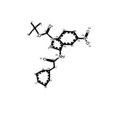 CC(C)(C)OC(=O)n1nc(NC(=O)Cc2ccccc2)c2cc([N+](=O)[O-])ccc21